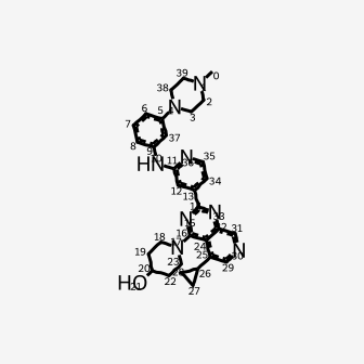 CN1CCN(c2cccc(Nc3cc(-c4nc(N5CCC(O)CC5)c5c(C6CC6)cncc5n4)ccn3)c2)CC1